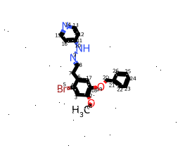 COc1cc(Br)c(CC=NNc2ccncc2)cc1OCc1ccccc1